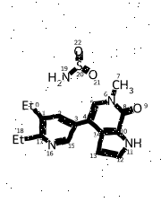 CCc1cc(-c2cn(C)c(=O)c3[nH]ccc23)cnc1CC.N[SH](=O)=O